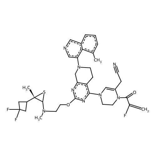 C=C(F)C(=O)N1CCN(c2nc(OCCN(C)C3S[C@@]3(C)C3CC(F)(F)C3)nc3c2CCN(c2cncc4cccc(C)c24)C3)C=C1CC#N